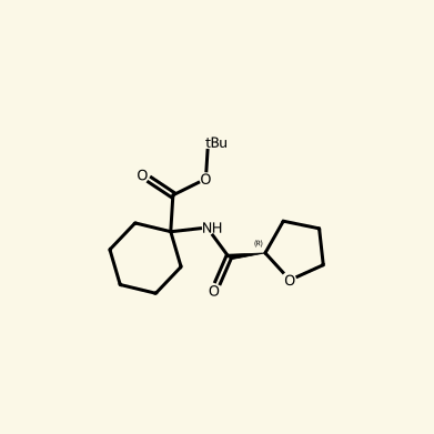 CC(C)(C)OC(=O)C1(NC(=O)[C@H]2CCCO2)CCCCC1